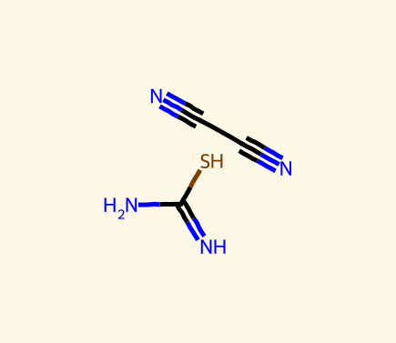 N#CC#N.N=C(N)S